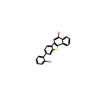 CC(=O)c1ccccc1-c1ccc2c(c1)sc1c3ccccc3c(Br)cc21